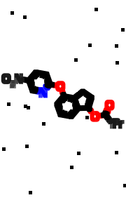 CC(C)C(=O)OC1=CCc2c(Oc3ccc([N+](=O)[O-])cn3)cccc21